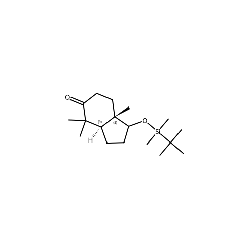 CC1(C)C(=O)CC[C@]2(C)C(O[Si](C)(C)C(C)(C)C)CC[C@@H]12